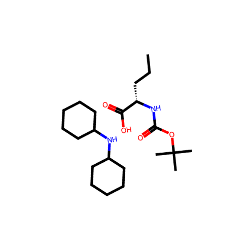 C1CCC(NC2CCCCC2)CC1.CCC[C@H](NC(=O)OC(C)(C)C)C(=O)O